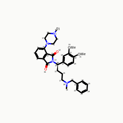 CCN1CCN(c2cccc3c2C(=O)N([C@H](CCCN(C)Cc2ccccc2)c2ccc(OC)c(OC)c2)C3=O)CC1